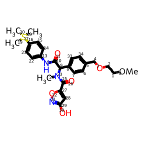 COCCOCc1ccc(C(C(=O)Nc2ccc(S(C)(C)C)cc2)N(C)C(=O)c2cc(O)no2)cc1